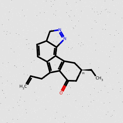 C=CCC1=C2C=CC3CN=NC3=C2C2=C1C(=O)C[C@H](CC)C2